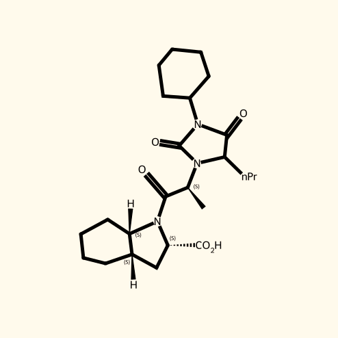 CCCC1C(=O)N(C2CCCCC2)C(=O)N1[C@@H](C)C(=O)N1[C@H](C(=O)O)C[C@@H]2CCCC[C@@H]21